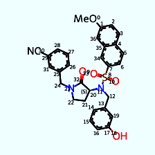 COc1ccc2ccc(S(=O)(=O)N(Cc3cccc(O)c3)[C@H]3CCN(Cc4cccc(C#N)c4)C3=O)cc2c1